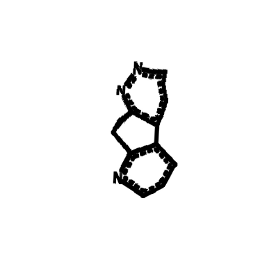 c1cnc2c(c1)-c1ccnnc1C2